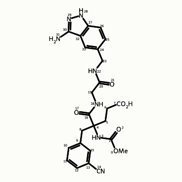 COC(=O)NC(CCC(=O)O)(Cc1cccc(C#N)c1)C(=O)NCC(=O)NCc1ccc2[nH]nc(N)c2c1